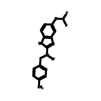 Cc1ccc(C[S+]([O-])c2nc3cc(OC(F)F)ccc3[nH]2)nc1